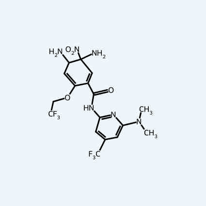 CN(C)c1cc(C(F)(F)F)cc(NC(=O)C2=CC(N)([N+](=O)[O-])C(N)C=C2OCC(F)(F)F)n1